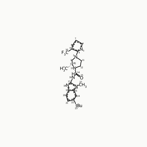 C[C@@H]1CN(c2ncccc2C(F)(F)F)CCN1C(=O)Nc1nc2ccc(C(C)(C)C)cc2n1C